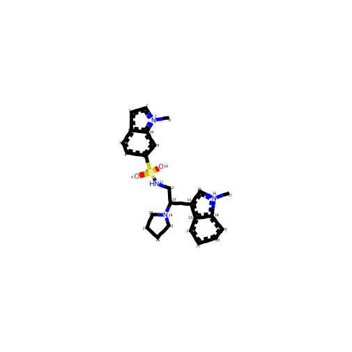 Cn1ccc2ccc(S(=O)(=O)NCC(c3cn(C)c4ccccc34)N3CCCC3)cc21